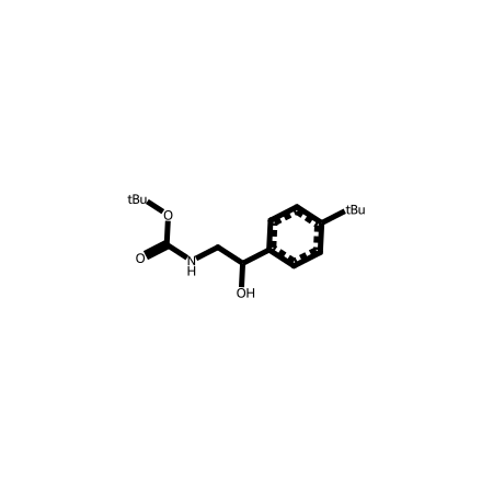 CC(C)(C)OC(=O)NCC(O)c1ccc(C(C)(C)C)cc1